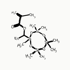 C=C(C)C(=O)OC(CC)[Si]1(C)O[Si](C)(C)O[Si](C)(C)O[Si](C)(C)O1